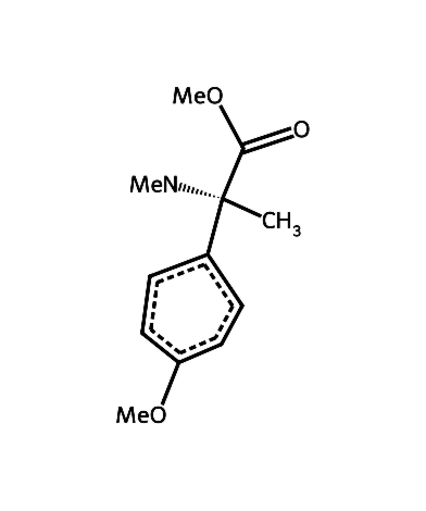 CN[C@@](C)(C(=O)OC)c1ccc(OC)cc1